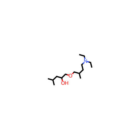 CCN(CC)CCC(C)COCC(O)CC(C)C